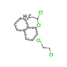 CC(Cl)Cl.ClCCCl.c1ccc2ccccc2c1